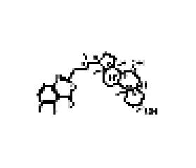 Cc1ccc2nc(CC[C@@H](C)[C@H]3CC[C@H]4[C@H]5C(CC[C@]34C)[C@@]3(C)CC[C@@H](O)C[C@H]3C[C@@H]5O)oc(=O)c2c1F